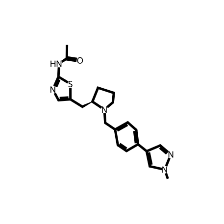 CC(=O)Nc1ncc(C[C@H]2CCCN2Cc2ccc(-c3cnn(C)c3)cc2)s1